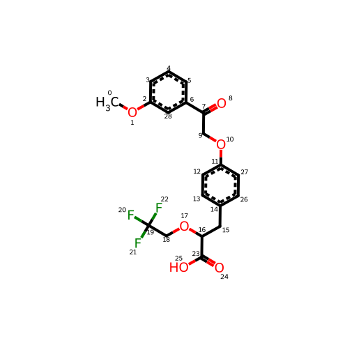 COc1cccc(C(=O)COc2ccc(CC(OCC(F)(F)F)C(=O)O)cc2)c1